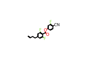 C=CCCc1cc(F)c(C(=O)Oc2ccc(C#N)c(F)c2)c(F)c1